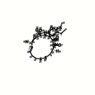 CC[C@H](C)[C@@H]1NC(=O)[C@H]2CSSCC/C=C/[C@H](CC(=O)N[C@H](CCSC)C(=O)N2)OC(=O)C[C@@H]1O